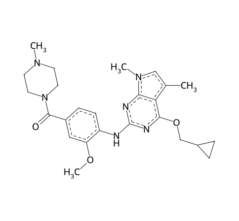 COc1cc(C(=O)N2CCN(C)CC2)ccc1Nc1nc(OCC2CC2)c2c(C)cn(C)c2n1